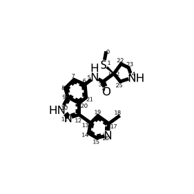 CS[C@@]1(C(=O)Nc2ccc3[nH]nc(-c4ccnc(C)c4)c3c2)CCNC1